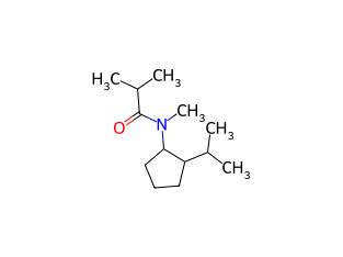 CC(C)C(=O)N(C)C1CCCC1C(C)C